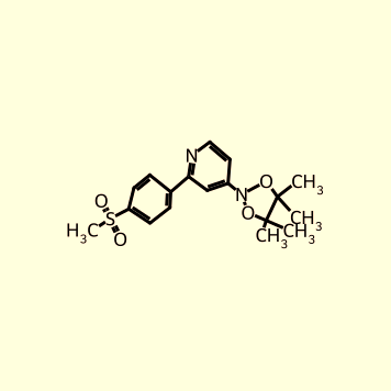 CC1(C)ON(c2ccnc(-c3ccc(S(C)(=O)=O)cc3)c2)OC1(C)C